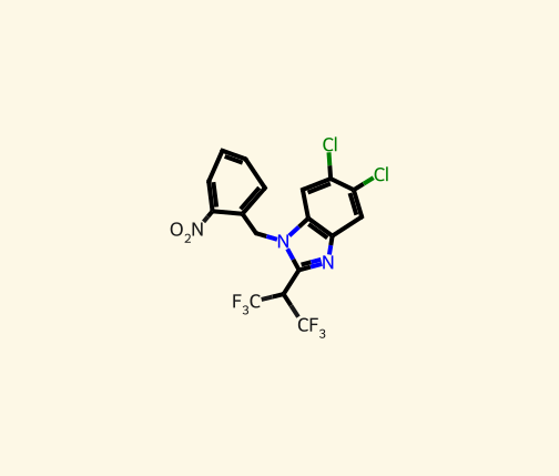 O=[N+]([O-])c1ccccc1Cn1c(C(C(F)(F)F)C(F)(F)F)nc2cc(Cl)c(Cl)cc21